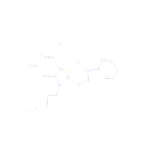 CCN1C(=Cc2sc3ccc(Cl)cc3[n+]2CCC(C)S(=O)(=O)O)Sc2ccccc21.[OH-]